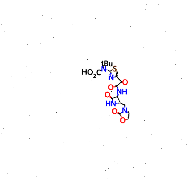 CC(C)(C)N(C(=O)O)c1nc(C(=O)C(=O)N[C@@H]2C(=O)N[C@@H]2CN2CCOC2=O)cs1